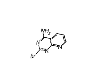 Nc1nc(Br)nc2ncccc12